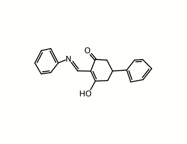 O=C1CC(c2ccccc2)CC(O)=C1/C=N/c1ccccc1